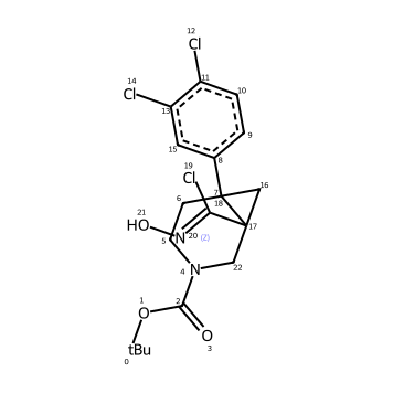 CC(C)(C)OC(=O)N1CCC2(c3ccc(Cl)c(Cl)c3)CC2(/C(Cl)=N/O)C1